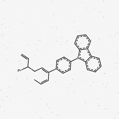 C=CC(C/C=C(\C=C/C)c1ccc(-n2c3ccccc3c3ccccc32)cc1)C(C)C